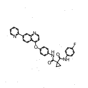 O=C(Nc1ccc(F)cc1)C1(C(=O)Nc2ccc(Oc3ccnc4cc(-c5ccccn5)ccc34)cc2)CC1